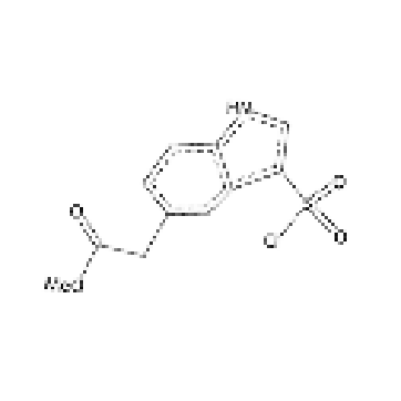 COC(=O)Cc1ccc2[nH]cc(S(=O)(=O)Cl)c2c1